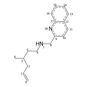 C=CCC(C)CCNCc1ccc2ccccc2n1